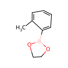 Cc1ccccc1B1OCCO1